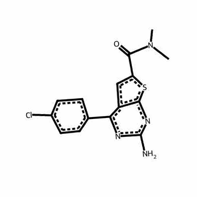 CN(C)C(=O)c1cc2c(-c3ccc(Cl)cc3)nc(N)nc2s1